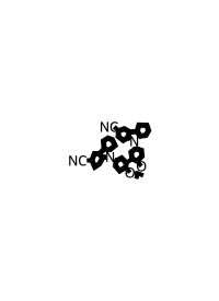 CC1(C)Oc2ccc(-n3c4ccccc4c4cc(C#N)ccc43)cc2-c2cc(-n3c4ccccc4c4cc(C#N)ccc43)ccc2O1